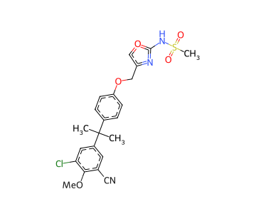 COc1c(Cl)cc(C(C)(C)c2ccc(OCc3coc(NS(C)(=O)=O)n3)cc2)cc1C#N